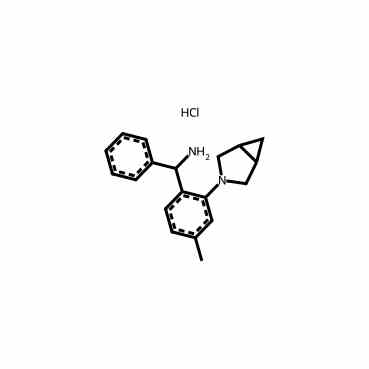 Cc1ccc(C(N)c2ccccc2)c(N2CC3CC3C2)c1.Cl